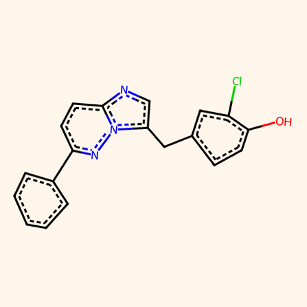 Oc1ccc(Cc2cnc3ccc(-c4ccccc4)nn23)cc1Cl